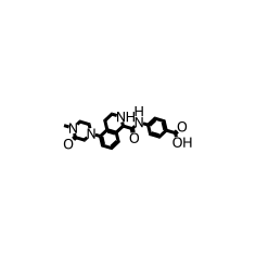 CN1CCN(c2cccc3c2CCNC3C(=O)Nc2ccc(C(=O)O)cc2)CC1=O